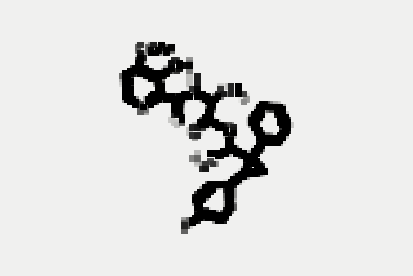 COc1ccnc(C(=O)N[C@@H](C)C(=O)OC(C)C2(c3ccccc3)CC2c2ccc(F)cc2)c1O